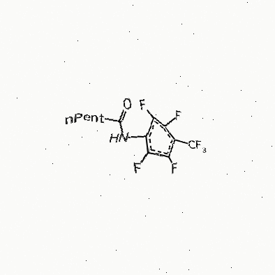 CCCCCC(=O)Nc1c(F)c(F)c(C(F)(F)F)c(F)c1F